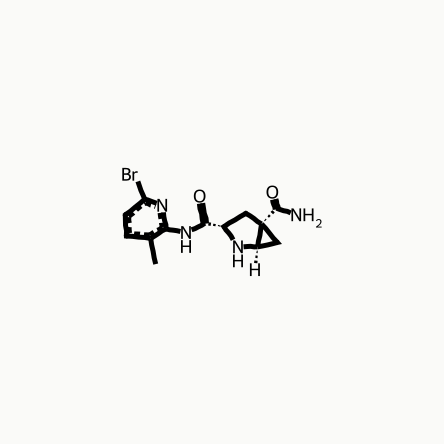 Cc1ccc(Br)nc1NC(=O)[C@@H]1C[C@@]2(C(N)=O)C[C@H]2N1